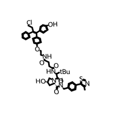 Cc1ncsc1-c1ccc(CNC(=O)[C@@H]2C[C@@H](O)CN2C(=O)C(NC(=O)CCC(=O)NCCOc2ccc(C(=C(CCCl)c3ccccc3)c3ccc(O)cc3)cc2)C(C)(C)C)cc1